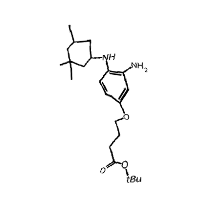 CC1CC(Nc2ccc(OCCCC(=O)OC(C)(C)C)cc2N)CC(C)(C)C1